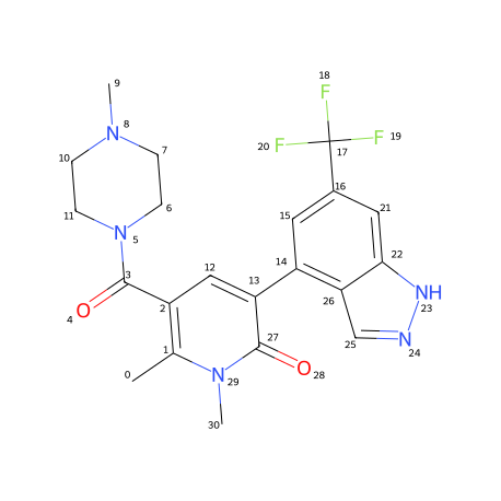 Cc1c(C(=O)N2CCN(C)CC2)cc(-c2cc(C(F)(F)F)cc3[nH]ncc23)c(=O)n1C